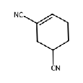 N#CC1=CCCC(C#N)C1